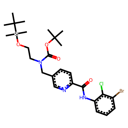 CC(C)(C)OC(=O)N(CCO[Si](C)(C)C(C)(C)C)Cc1ccc(C(=O)Nc2cccc(Br)c2Cl)nc1